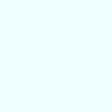 CCCCCc1cc2c(ccc3c4cc5ccccc5cc4ccc23)s1